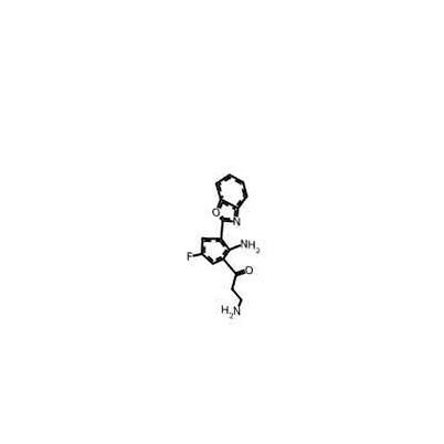 NCCC(=O)c1cc(F)cc(-c2nc3ccccc3o2)c1N